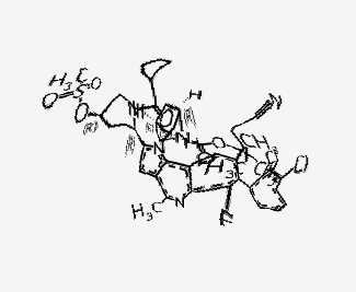 Cc1nc2c(F)c(-c3cccc(Cl)c3Cl)c(CCC#N)cc2c2c1cc([C@H]1C[C@@H](OS(C)(=O)=O)CN1C(=O)C1CC1)n2[C@H]1[C@@H]2C[C@H]1N(C(=O)OC(C)(C)C)C2